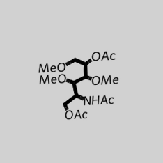 COCC(OC(C)=O)C(OC)C(OC)C(COC(C)=O)NC(C)=O